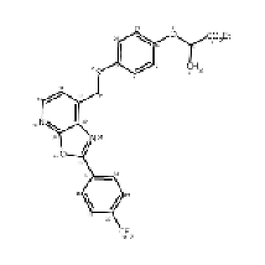 CCOC(=O)C(C)Oc1ccc(SCc2ccnc3oc(-c4ccc(C(F)(F)F)cc4)nc23)cc1